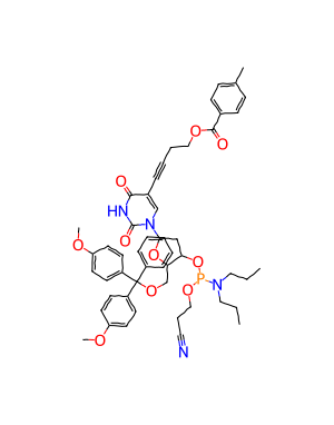 CCCN(CCC)P(OCCC#N)OC1CC(n2cc(C#CCCOC(=O)c3ccc(C)cc3)c(=O)[nH]c2=O)OC1COC(c1ccccc1)(c1ccc(OC)cc1)c1ccc(OC)cc1